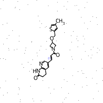 Cc1csc(COC2CN(C(=O)/C=C/c3cnc4c(c3)CCC(=O)N4)C2)c1